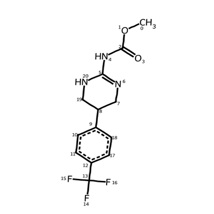 COC(=O)NC1=NCC(c2ccc(C(F)(F)F)cc2)CN1